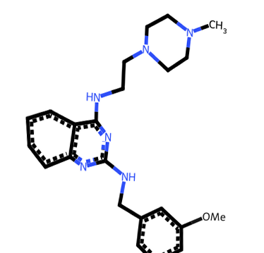 COc1cccc(CNc2nc(NCCN3CCN(C)CC3)c3ccccc3n2)c1